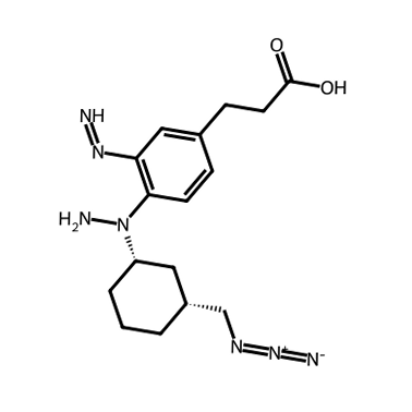 [N-]=[N+]=NC[C@@H]1CCC[C@H](N(N)c2ccc(CCC(=O)O)cc2N=N)C1